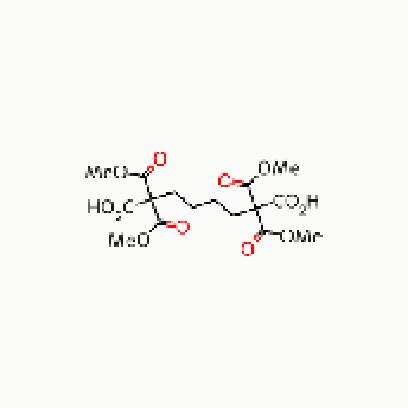 COC(=O)C(CCCCC(C(=O)O)(C(=O)OC)C(=O)OC)(C(=O)O)C(=O)OC